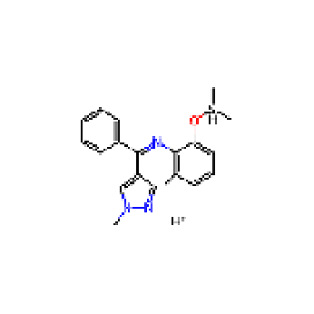 Cc1cccc(O[SiH](C)C)c1N=C(c1ccccc1)c1cnn(C)c1.[H+]